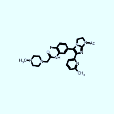 CC(=O)N1CCn2c1nc(-c1cccc(C)n1)c2-c1ccc(F)c(NC(=O)CN2CCN(C)CC2)c1